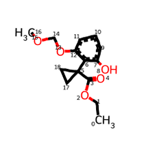 CCOC(=O)C1(c2c(O)cccc2OCOC)CC1